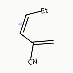 C=C(C#N)/C=C\CC